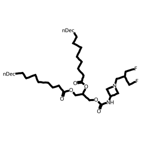 CCCCCCCCCCCCCCCCCC(=O)OCC(COC(=O)NC1CN(CC(CF)CF)C1)OC(=O)CCCCCCCCCCCCCCCCC